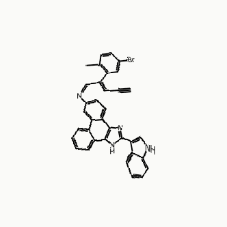 C#C/C=C(/C=N\c1ccc2c(c1)c1ccccc1c1[nH]c(-c3c[nH]c4ccccc34)nc21)c1cc(Br)ccc1C